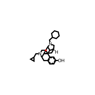 Oc1ccc2c(c1)C13CCN(CC4CC4)C(C2)C12CCC1C3[C@@H](CN1CC1CCCCC1)C2